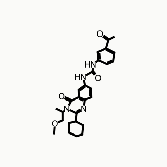 COCC(C)n1c(C2CCCCC2)nc2ccc(NC(=O)Nc3cccc(C(C)=O)c3)cc2c1=O